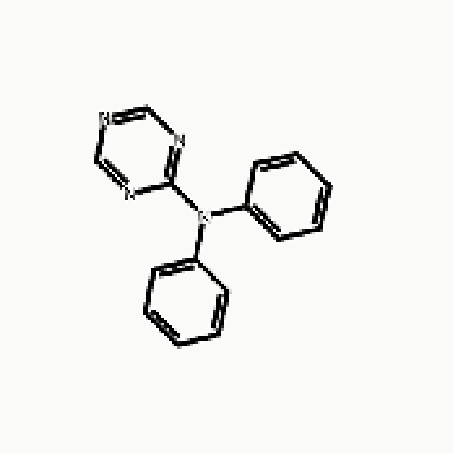 c1ccc(N(c2ccccc2)c2ncncn2)cc1